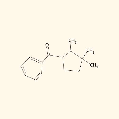 CC1C(C(=O)c2ccccc2)CCC1(C)C